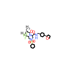 CC(C)C(=O)N1C(C(=O)NCc2ccc(-c3ccco3)cc2)CN(S(=O)(=O)c2ccccc2)CC1C(F)(F)F